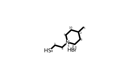 Br.CC1CCN(CCS)CC1